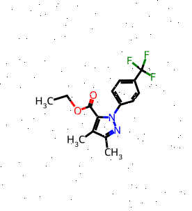 CCOC(=O)c1c(C)c(C)nn1-c1ccc(C(F)(F)F)cc1